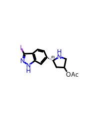 CC(=O)OC1CN[C@@H](c2ccc3c(I)n[nH]c3c2)C1